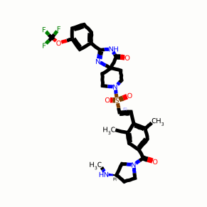 CN[C@@H]1CCN(C(=O)c2cc(C)c(/C=C/S(=O)(=O)N3CCC4(CC3)N=C(c3cccc(OC(F)(F)F)c3)NC4=O)c(C)c2)C1